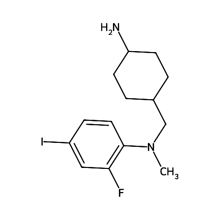 CN(CC1CCC(N)CC1)c1ccc(I)cc1F